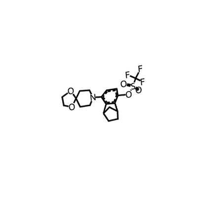 O=S(=O)(Oc1ccc(N2CCC3(CC2)OCCO3)c2c1C1CCC2C1)C(F)(F)F